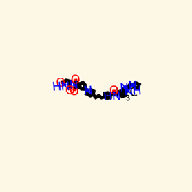 C[C@H]1CCCN1Cc1nc2cc(NC(=O)c3ccc(CCCC4CCN(c5ccc6c(c5)C(=O)N(C5CCC(=O)NC5=O)C6=O)CC4)cc3)ccc2[nH]1